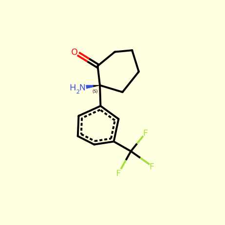 N[C@]1(c2cccc(C(F)(F)F)c2)CCCCC1=O